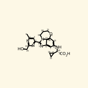 Cc1cc(-c2nc3cc(N[C@H](C(=O)O)C4CC4)cc4c3n2CCCO4)nc(CO)n1